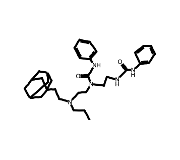 CCCN(CCN(CCNC(=O)Nc1ccccc1)C(=O)Nc1ccccc1)CCC12CC3CC(CC(C3)C1)C2